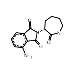 Nc1cccc2c1C(=O)N([C@@H]1CCCCNC1=O)C2=O